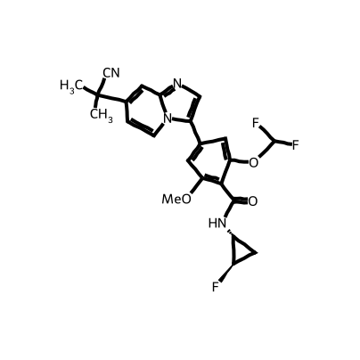 COc1cc(-c2cnc3cc(C(C)(C)C#N)ccn23)cc(OC(F)F)c1C(=O)N[C@@H]1C[C@H]1F